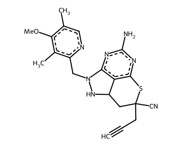 C#CCC1(C#N)CC2NN(Cc3ncc(C)c(OC)c3C)c3nc(N)nc(c32)S1